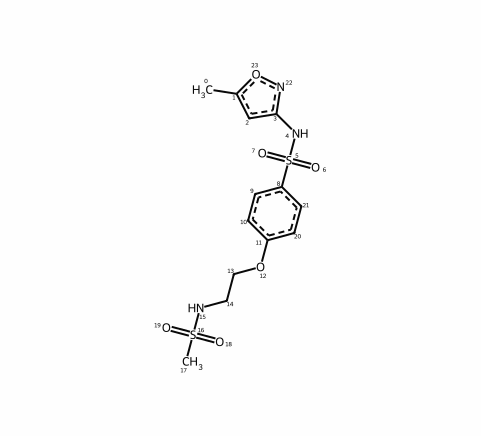 Cc1cc(NS(=O)(=O)c2ccc(OCCNS(C)(=O)=O)cc2)no1